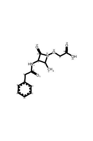 CC1C(NC(=O)Cc2ccccc2)C(=O)N1OCC(=O)O